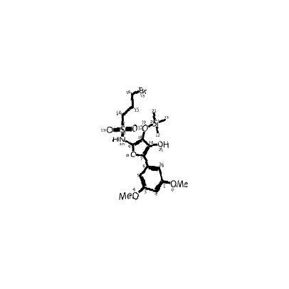 COc1cc(OC)cc(-c2oc(NS(=O)(=O)CCCBr)c(O[Si](C)(C)C)c2O)c1